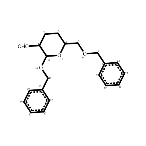 O=CC1CCC(COCc2ccccc2)OC1OCc1ccccc1